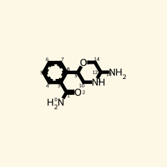 NC(=O)c1ccccc1C1CNC(N)CO1